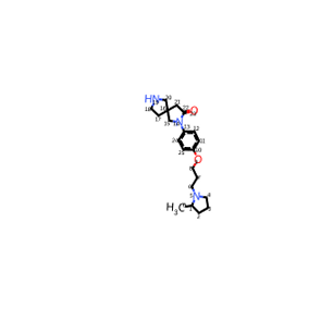 CC1CCCN1CCCOc1ccc(N2CC3(CCNC3)CC2=O)cc1